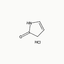 Cl.O=C1CC=CN1